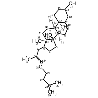 CC(CC1CC[C@@]2(O)[C@@H]3CCC4CC(O)CC[C@]4(C)[C@@H]3CC[C@]12C)=NOCCN(C)C